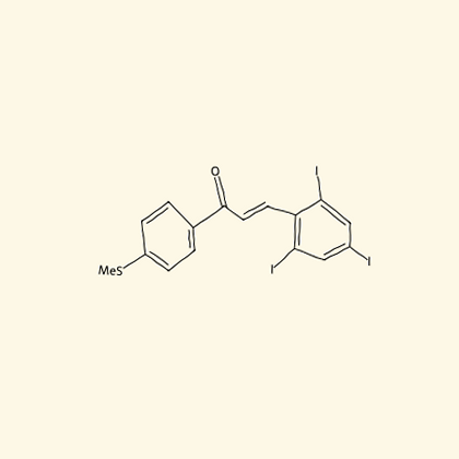 CSc1ccc(C(=O)/C=C/c2c(I)cc(I)cc2I)cc1